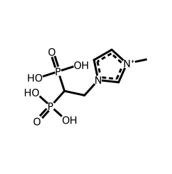 C[n+]1ccn(CC(P(=O)(O)O)P(=O)(O)O)c1